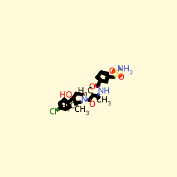 CC(NC(=O)c1cccc(CS(N)(=O)=O)c1)[C@@H](C)C(=O)N1CC[C@](O)(c2ccc(Cl)cc2)C(C)(C)C1